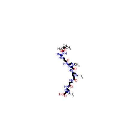 Cn1cc(NC(=O)c2nc(NC(=O)CCNC(=N)NC(=O)OC(C)(C)C)cn2C)cc1C(=O)NCCC(=O)Nc1cn(C)c(C(=O)O)n1